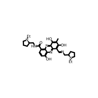 CCN1CCCC1CN=Cc1c(O)c(C)c(O)c2nc3c(C(=O)NCC4CCCN4CC)ccc(O)c3nc12